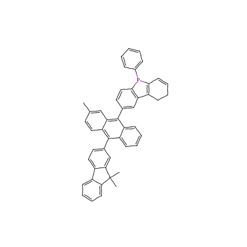 Cc1ccc2c(-c3ccc4c(c3)C(C)(C)c3ccccc3-4)c3ccccc3c(-c3ccc4c(c3)c3c(p4-c4ccccc4)C=CCC3)c2c1